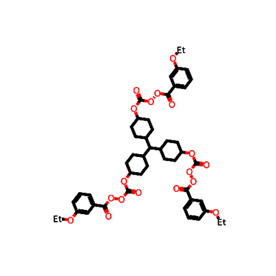 CCOc1cccc(C(=O)OOC(=O)OC2CCC(C(C3CCC(OC(=O)OOC(=O)c4cccc(OCC)c4)CC3)C3CCC(OC(=O)OOC(=O)c4cccc(OCC)c4)CC3)CC2)c1